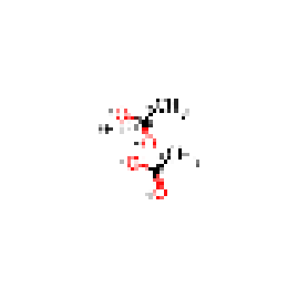 CC(=O)[O-].CC(=O)[O-].[Eu+2]